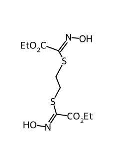 CCOC(=O)/C(=N/O)SCCS/C(=N\O)C(=O)OCC